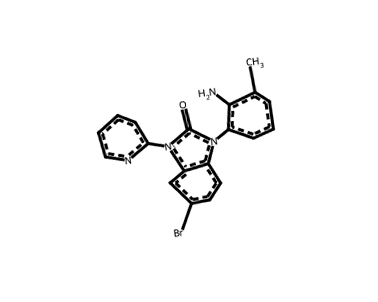 Cc1cccc(-n2c(=O)n(-c3ccccn3)c3cc(Br)ccc32)c1N